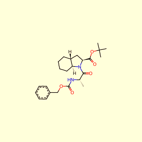 C[C@H](NC(=O)OCc1ccccc1)C(=O)N1[C@H](C(=O)OC(C)(C)C)C[C@H]2CCCC[C@@H]21